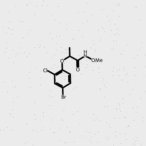 CONC(=O)C(C)Oc1ccc(Br)cc1Cl